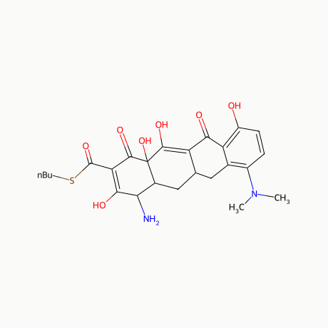 CCCCSC(=O)C1=C(O)C(N)C2CC3Cc4c(N(C)C)ccc(O)c4C(=O)C3=C(O)C2(O)C1=O